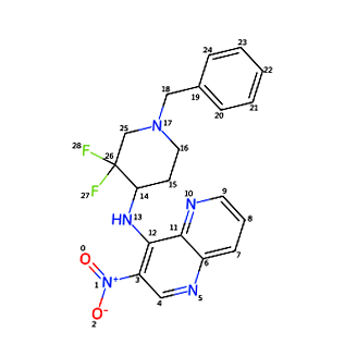 O=[N+]([O-])c1cnc2cccnc2c1NC1CCN(Cc2ccccc2)CC1(F)F